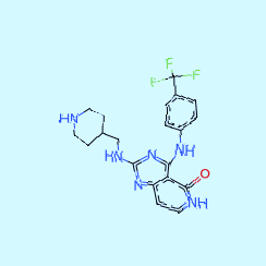 O=c1[nH]ccc2nc(NCC3CCNCC3)nc(Nc3ccc(C(F)(F)F)cc3)c12